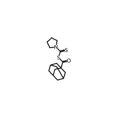 O=C(SC(=S)N1CCCC1)C12CC3CC(CC(C3)C1)C2